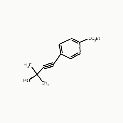 CCOC(=O)c1ccc(C#CC(C)(C)O)cc1